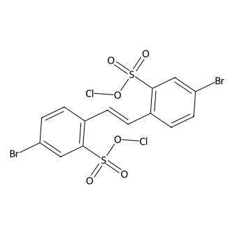 O=S(=O)(OCl)c1cc(Br)ccc1/C=C/c1ccc(Br)cc1S(=O)(=O)OCl